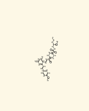 CCCC(CCS(=O)(=O)N1CCN(C(=O)/C=C/c2c(C)cc(C)cc2/C=C/c2ccc(OC)cc2)CC1)OC